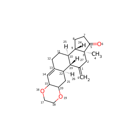 C=C1C[C@]2(C)C(=O)CC[C@H]2[C@@H]2CCC3=CC4OCCOC4C[C@@H]3[C@@H]12